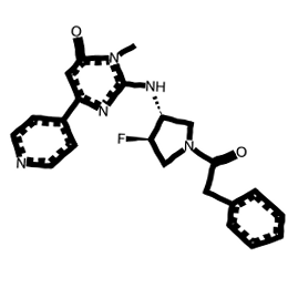 Cn1c(N[C@@H]2CN(C(=O)Cc3ccccc3)C[C@H]2F)nc(-c2ccncc2)cc1=O